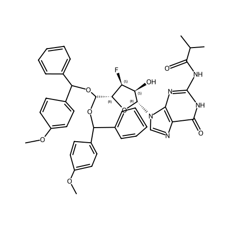 COc1ccc(C(OC(OC(c2ccccc2)c2ccc(OC)cc2)[C@H]2O[C@@H](n3cnc4c(=O)[nH]c(NC(=O)C(C)C)nc43)[C@H](O)[C@@H]2F)c2ccccc2)cc1